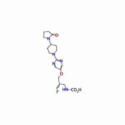 O=C(O)NC/C(=C\F)COc1cnc(N2CCC(N3CCCC3=O)CC2)nc1